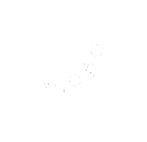 COC(=O)c1ccc(-c2nc(-c3ccccc3)c[nH]2)cc1